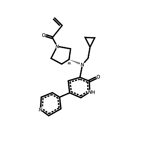 C=CC(=O)N1CC[C@@H](N(CC2CC2)c2cc(-c3ccncc3)c[nH]c2=O)C1